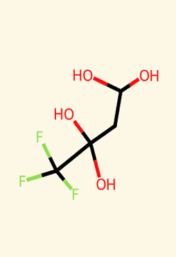 OC(O)CC(O)(O)C(F)(F)F